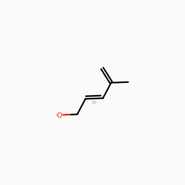 C=C(C)/C=C/C[O]